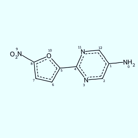 Nc1cnc(-c2ccc([N+](=O)[O-])o2)nc1